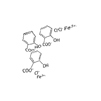 O=C([O-])c1ccccc1O.O=C([O-])c1ccccc1O.O=C([O-])c1ccccc1O.[Cl-].[Cl-].[Cl-].[Fe+3].[Fe+3]